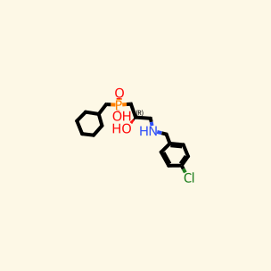 O=P(O)(CC1CCCCC1)C[C@H](O)CNCc1ccc(Cl)cc1